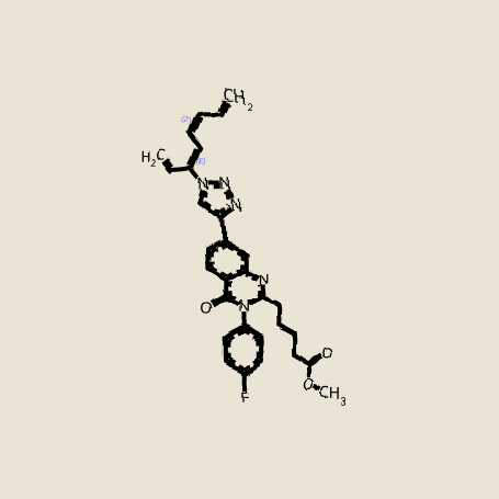 C=C/C=C\C=C(/C=C)n1cc(-c2ccc3c(=O)n(-c4ccc(F)cc4)c(CCCCC(=O)OC)nc3c2)nn1